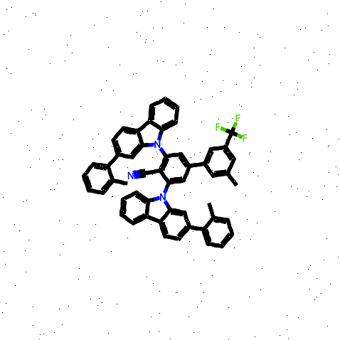 Cc1cc(-c2cc(-n3c4ccccc4c4ccc(-c5ccccc5C)cc43)c(C#N)c(-n3c4ccccc4c4ccc(-c5ccccc5C)cc43)c2)cc(C(F)(F)F)c1